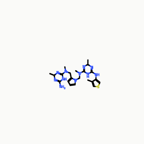 Cc1cscc1NC1=NC(C)N=C(N(C)Cn2cccc2CN(C)C2=NC(C)N=C(N)N2)N1